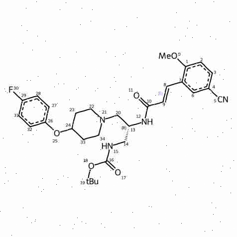 COc1ccc(C#N)cc1/C=C/C(=O)N[C@H](CNC(=O)OC(C)(C)C)CN1CCC(Oc2ccc(F)cc2)CC1